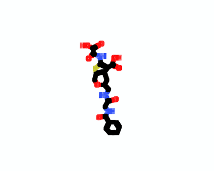 O=C(CNC(=O)c1ccccc1)NCC1Cc2c(sc(NC(=O)C(=O)O)c2C(=O)O)CO1